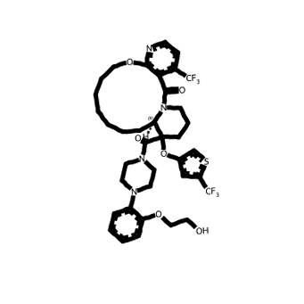 O=C1c2c(C(F)(F)F)ccnc2OCCCCCCC[C@H]2N1CCCC2(Oc1csc(C(F)(F)F)c1)C(=O)N1CCN(c2ccccc2OCCO)CC1